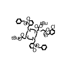 CC(C)(C)OC(=O)CN1CCN(Cc2cccc(=O)n2OCc2ccccc2)CCN([C@@H](CCC(=O)Oc2c(Cl)cccc2Cl)C(=O)OC(C)(C)C)CCN(Cc2cccc(=O)n2OCc2ccccc2)CC1